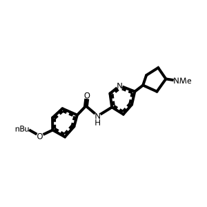 CCCCOc1ccc(C(=O)Nc2ccc(C3CCC(NC)C3)nc2)cc1